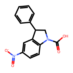 O=C(O)N1CC(c2ccccc2)c2cc([N+](=O)[O-])ccc21